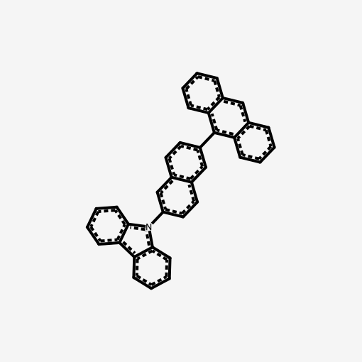 c1ccc2c(-c3ccc4cc(-n5c6ccccc6c6ccccc65)ccc4c3)c3ccccc3cc2c1